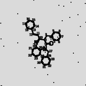 O=C1C(Cc2ccccc2)C(/C=C/c2ccccc2)=Nc2ccccc2N1Cc1ccccc1